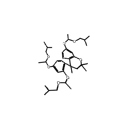 CC(C)COC(C)Oc1ccc(C2(C)CC(C)(C)Oc3cc(OC(C)OCC(C)C)ccc32)c(OC(C)OCC(C)C)c1